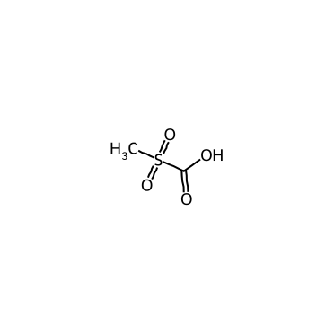 CS(=O)(=O)C(=O)O